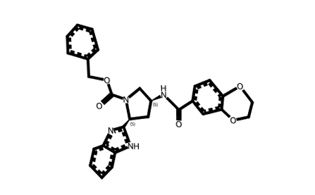 O=C(N[C@H]1C[C@@H](c2nc3ccccc3[nH]2)N(C(=O)OCc2ccccc2)C1)c1ccc2c(c1)OCCO2